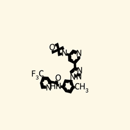 Cc1ccc(NC(=O)c2cc(C(F)(F)F)ccn2)cc1-n1cc(-c2cncc(N3CC4(COC4)C3)c2)nn1